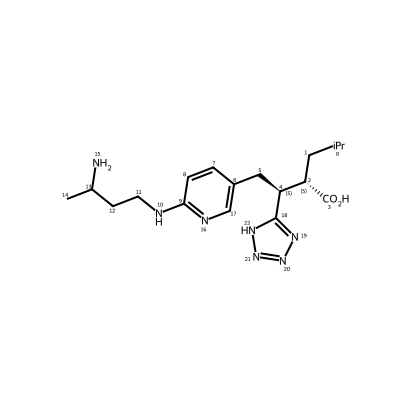 CC(C)C[C@H](C(=O)O)[C@H](Cc1ccc(NCCC(C)N)nc1)c1nnn[nH]1